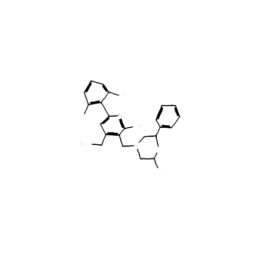 CCc1cccc(CC)c1-c1cc(COC)c(CN2CC(C)OC(c3ccccc3)C2)c(C)n1